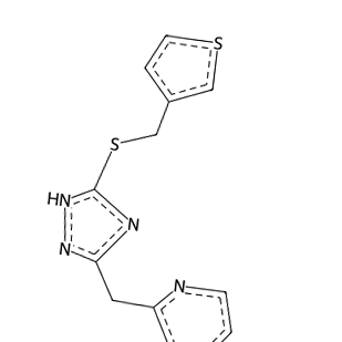 c1ccc(Cc2n[nH]c(SCc3ccsc3)n2)nc1